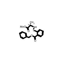 COC(=O)[C@H](C)NSc1ccccc1C(=O)OCc1ccccc1